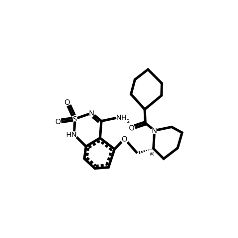 NC1=NS(=O)(=O)Nc2cccc(OC[C@H]3CCCCN3C(=O)C3CCCCC3)c21